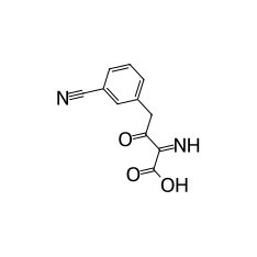 N#Cc1cccc(CC(=O)C(=N)C(=O)O)c1